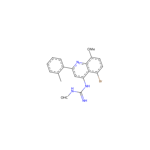 COc1ccc(Br)c2c(NC(=N)NC=O)cc(-c3ccccc3C)nc12